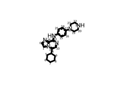 c1cn2c(C3CCCCC3)cnc(Nc3ccc(N4CCNCC4)cc3)c2n1